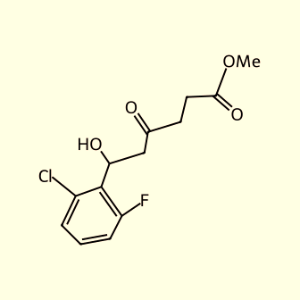 COC(=O)CCC(=O)CC(O)c1c(F)cccc1Cl